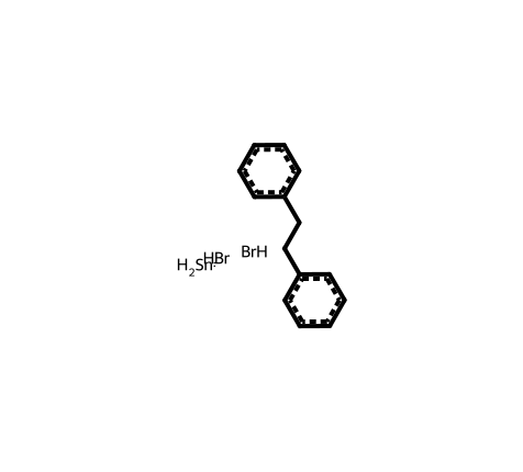 Br.Br.[SnH2].c1ccc(CCc2ccccc2)cc1